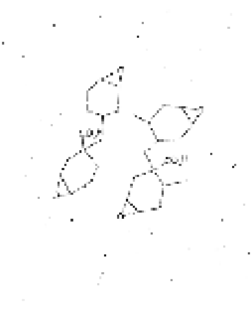 CC1CC2OC2CC1CC1(C(=O)O)CC2OC2CC1C.O=C(O)C1(CC2CCC3OC3C2)CCC2OC2C1